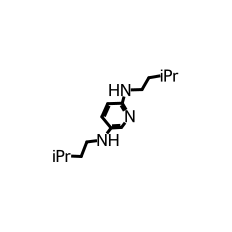 CC(C)CCNc1ccc(NCCC(C)C)nc1